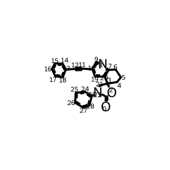 O=C1OC2(CCCc3ncc(C#Cc4ccccc4)cc32)CN1c1ccccc1